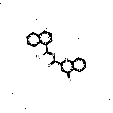 C/C(=N\C(=O)c1cc(=O)c2ccccc2o1)c1cccc2ccccc12